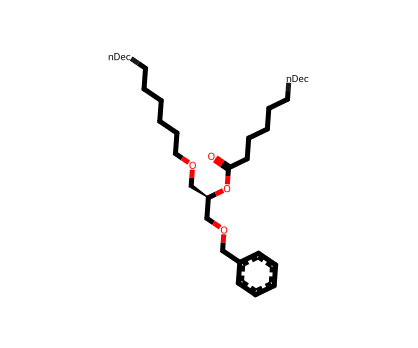 CCCCCCCCCCCCCCCCOC[C@H](COCc1ccccc1)OC(=O)CCCCCCCCCCCCCCC